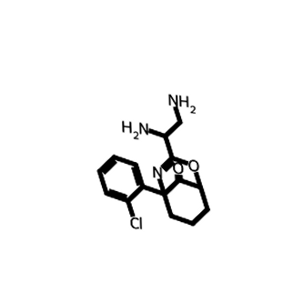 NCC(N)C1=NC2(c3ccccc3Cl)CCCC(O1)C2=O